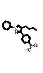 CCCCc1cn(-c2ccccc2)nc1-c1ccc(B(O)O)cc1